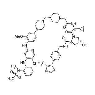 COc1cc(N2CCN(CC3CCN(CC(=O)N[C@H](C(=O)N4C[C@H](O)C[C@H]4C(=O)NCc4ccc(-c5scnc5C)cc4)C4CC4)CC3)CC2)ccc1Nc1ncc(Cl)c(Nc2ccccc2N(C)S(C)(=O)=O)n1